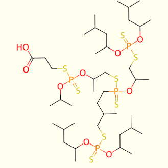 CC(C)CC(C)OP(=S)(OC(C)CC(C)C)SCC(C)CCP(=S)(OC(C)CSP(=S)(OC(C)CC(C)C)OC(C)CC(C)C)SCC(C)OP(=S)(OC(C)C)SCCC(=O)O